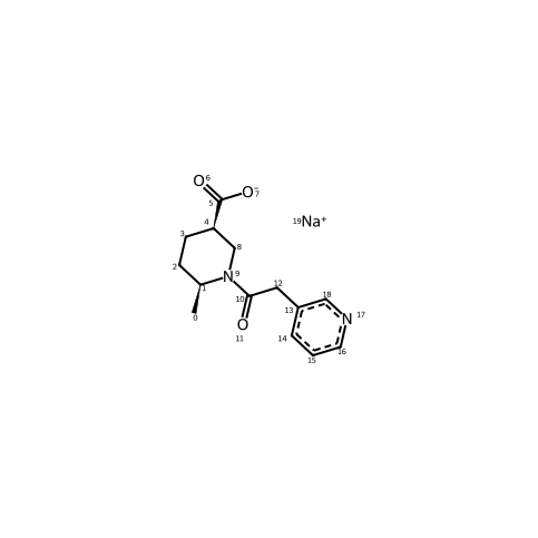 C[C@H]1CC[C@@H](C(=O)[O-])CN1C(=O)Cc1cccnc1.[Na+]